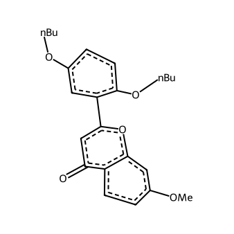 CCCCOc1ccc(OCCCC)c(-c2cc(=O)c3ccc(OC)cc3o2)c1